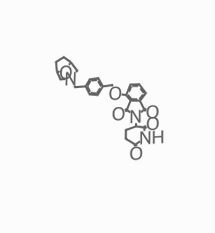 O=C1CCC(N2C(=O)c3cccc(OCc4ccc(CN5CC6CCC(C5)O6)cc4)c3C2=O)C(=O)N1